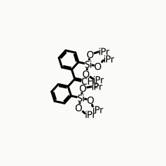 C=C(c1ccccc1[Si](OC(C)C)(OC(C)C)OC(C)C)c1ccccc1[Si](OC(C)C)(OC(C)C)OC(C)C